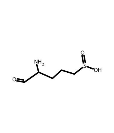 NC(C=O)CCCS(=O)O